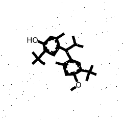 COc1cc(C)c(C(c2cc(C(C)(C)C)c(O)cc2C)C(C)C)cc1C(C)(C)C